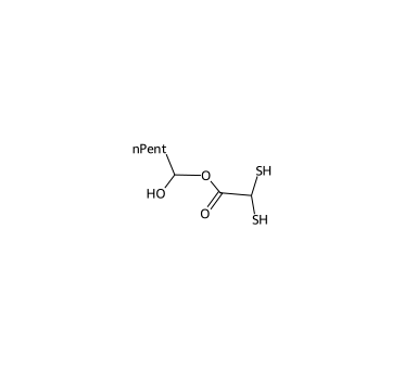 CCCCCC(O)OC(=O)C(S)S